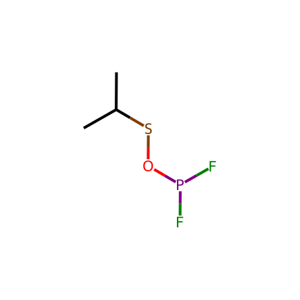 CC(C)SOP(F)F